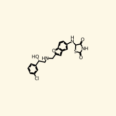 O=C1NC(=O)C(Nc2ccc3oc(CNC[C@@H](O)c4cccc(Cl)c4)cc3c2)S1